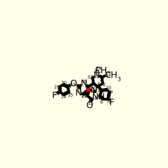 CC1CC(c2ccc(F)cc2)(n2ccc(=O)[nH]2)C(c2ccnc(Oc3ccc(F)cc3)n2)CN1C